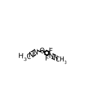 CN1CCN(CCOc2cc(F)c(N3CCN(C)CC3)c(F)c2)CC1